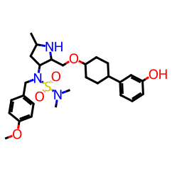 COc1ccc(CN(C2CC(C)NC2COC2CCC(c3cccc(O)c3)CC2)S(=O)(=O)N(C)C)cc1